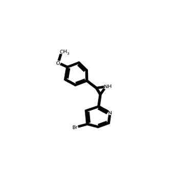 COc1ccc(C2NC2c2cc(Br)ccn2)cc1